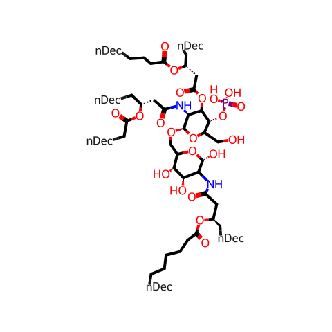 CCCCCCCCCCCCCCCC(=O)O[C@H](CCCCCCCCCCC)CC(=O)NC1[C@@H](O)[C@H](O)C(CO[C@@H]2OC(CO)[C@@H](OP(=O)(O)O)C(OC(=O)C[C@@H](CCCCCCCCCCC)OC(=O)CCCCCCCCCCCCC)[C@@H]2NC(=O)C[C@@H](CCCCCCCCCCC)OC(=O)CCCCCCCCCCC)O[C@@H]1O